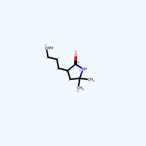 COCCCC1CC(C)(C)NC1=O